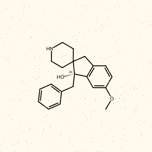 COc1ccc2c(c1)[C@@](O)(Cc1ccccc1)C1(CCNCC1)C2